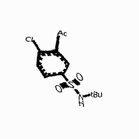 CC(=O)c1cc(S(=O)(=O)NC(C)(C)C)ccc1Cl